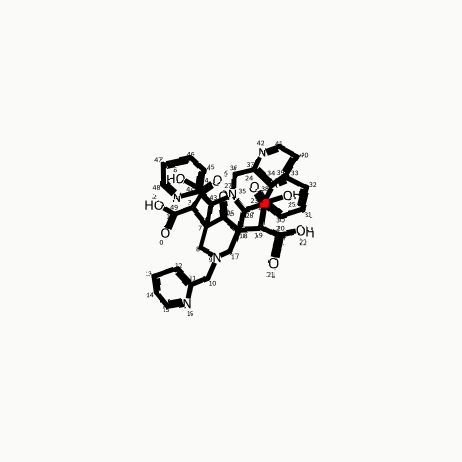 O=C(O)C(C(=O)O)C12CN(Cc3ccccn3)CC(C(C(=O)O)C(=O)O)(C1=O)C(c1ccccn1)N(Cc1ccccn1)C2c1ccccn1